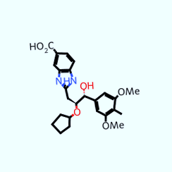 COc1cc([C@@H](O)[C@H](Cc2nc3cc(C(=O)O)ccc3[nH]2)OC2CCCC2)cc(OC)c1C